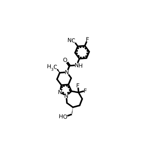 C[C@@H]1Cc2nn3c(c2CN1C(=O)Nc1ccc(F)c(C#N)c1)C(F)(F)CC[C@H](CO)C3